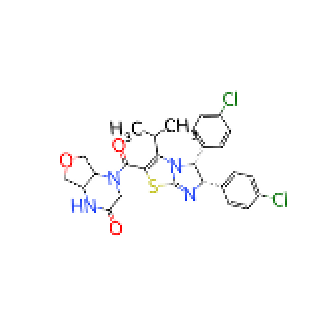 CC(C)C1=C(C(=O)N2CC(=O)NC3COCC32)SC2=N[C@@H](c3ccc(Cl)cc3)[C@@H](c3ccc(Cl)cc3)N21